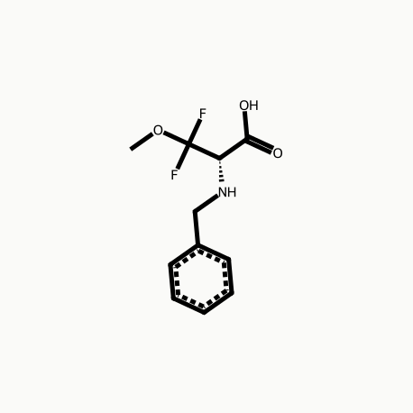 COC(F)(F)[C@@H](NCc1ccccc1)C(=O)O